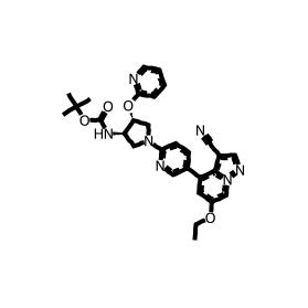 CCOc1cc(-c2ccc(N3C[C@@H](NC(=O)OC(C)(C)C)[C@H](Oc4ccccn4)C3)nc2)c2c(C#N)cnn2c1